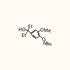 CCCCOc1ccc(C(O)(CC)CC)cc1OC